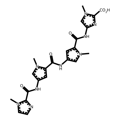 Cn1cc(NC(=O)c2nccn2C)cc1C(=O)Nc1cc(C(=O)Nc2cn(C)c(C(=O)O)n2)n(C)c1